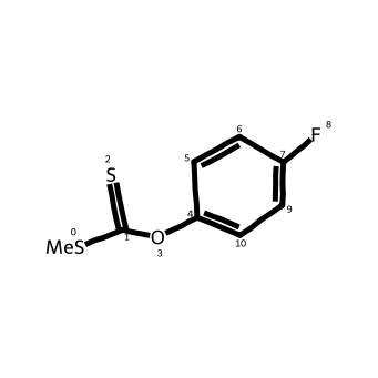 CSC(=S)Oc1ccc(F)cc1